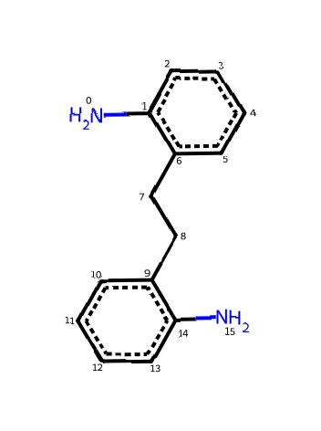 Nc1ccccc1CCc1ccccc1N